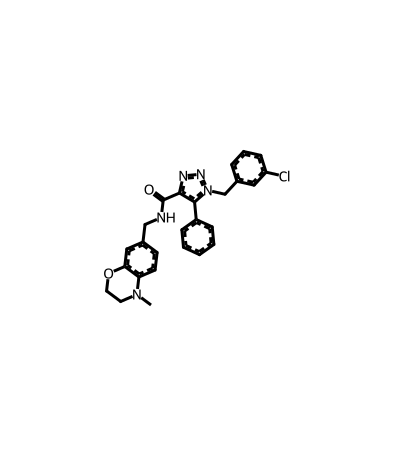 CN1CCOc2cc(CNC(=O)c3nnn(Cc4cccc(Cl)c4)c3-c3ccccc3)ccc21